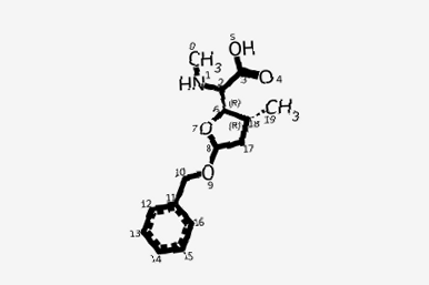 CNC(C(=O)O)[C@@H]1OC(OCc2ccccc2)C[C@H]1C